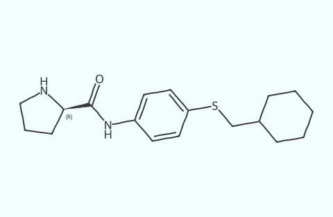 O=C(Nc1ccc(SCC2CCCCC2)cc1)[C@H]1CCCN1